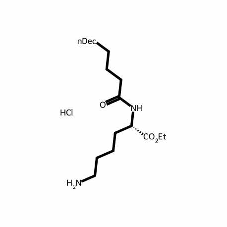 CCCCCCCCCCCCCC(=O)N[C@@H](CCCCN)C(=O)OCC.Cl